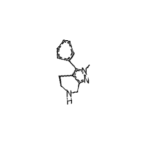 Cn1nc2c(c1-c1ccccc1)CCNC2